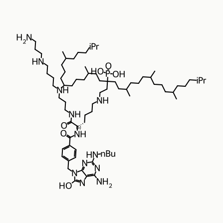 CCCCNc1nc(N)c2nc(O)n(Cc3ccc(C(=O)N[C@@H](CCCCNCCC(CCC(C)CCCC(C)CCCC(C)CCCC(C)C)(CCC(C)CCCC(C)CCCC(C)CCCC(C)C)P(=O)(O)O)C(=O)NCCCNCCCCNCCCN)cc3)c2n1